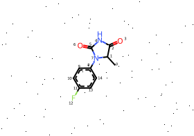 CC1C(=O)NC(=O)N1c1ccc(F)cc1